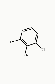 N#Cc1c(F)[c]ccc1Cl